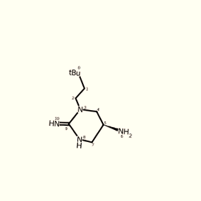 CC(C)(C)CCN1C[C@@H](N)CNC1=N